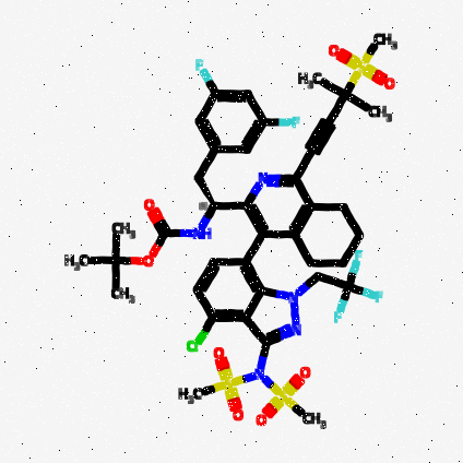 CC(C)(C)OC(=O)N[C@@H](Cc1cc(F)cc(F)c1)c1nc(C#CC(C)(C)S(C)(=O)=O)c2c(c1-c1ccc(Cl)c3c(N(S(C)(=O)=O)S(C)(=O)=O)nn(CC(F)(F)F)c13)CCCC2